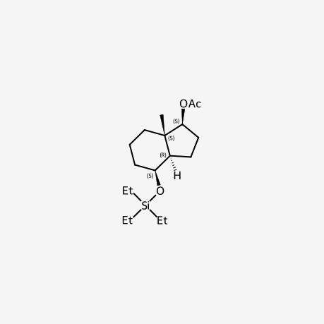 CC[Si](CC)(CC)O[C@H]1CCC[C@]2(C)[C@@H](OC(C)=O)CC[C@@H]12